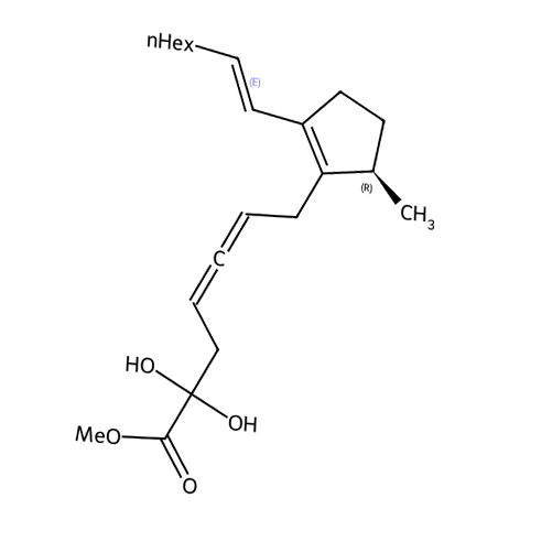 CCCCCC/C=C/C1=C(CC=C=CCC(O)(O)C(=O)OC)[C@H](C)CC1